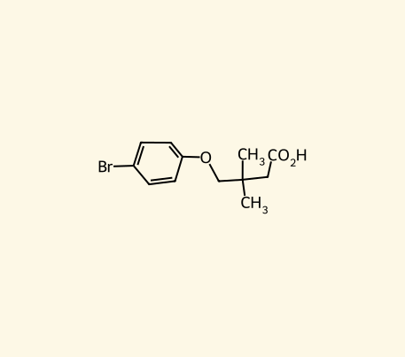 CC(C)(COc1ccc(Br)cc1)CC(=O)O